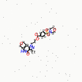 CCc1nn(CCCOC(=O)c2ccc(S(=O)(=O)N3CCOCC3)cc2)c2c1C(=O)NCC1(CCOCC1)C2